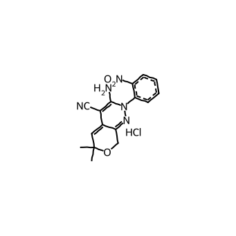 CC1(C)C=C2C(=NN(c3ccccc3[N+](=O)[O-])C(N)=C2C#N)CO1.Cl